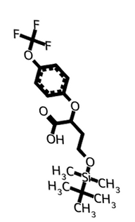 CC(C)(C)[Si](C)(C)OCCC(Oc1ccc(OC(F)(F)F)cc1)C(=O)O